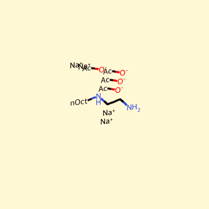 CC(=O)[O-].CC(=O)[O-].CC(=O)[O-].CC(=O)[O-].CCCCCCCCNCCN.[Na+].[Na+].[Na+].[Na+]